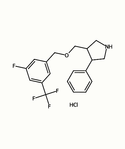 Cl.Fc1cc(COCC2CNCC2c2ccccc2)cc(C(F)(F)F)c1